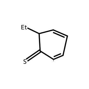 CCC1C=CC=[C]C1=S